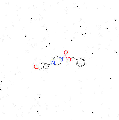 O=CC1CC(N2CCN(C(=O)OCc3ccccc3)CC2)C1